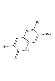 COc1cc2[nH]c(=O)c(C(C)C)cc2cc1C(C)C